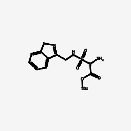 CC(C)(C)OC(=O)N(N)S(=O)(=O)NCc1nsc2ccccc12